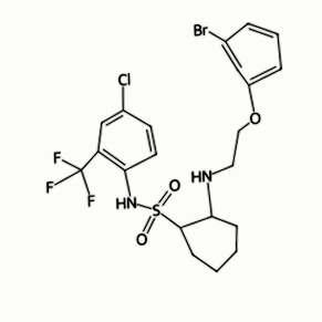 O=S(=O)(Nc1ccc(Cl)cc1C(F)(F)F)C1CCCCC1NCCOc1cccc(Br)c1